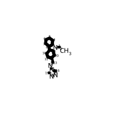 CCn1c2ccccc2c2ccc(C=Nn3cnnc3)cc21